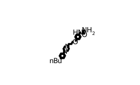 CCCCc1ccc(N2CCN(CCCOc3ccc(NC(N)=O)cc3)CC2)cc1